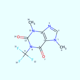 Cn1cnc2c1c(=O)n(C(F)(F)F)c(=O)n2C